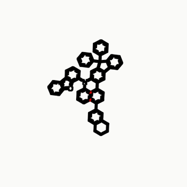 c1ccc(N(c2cc3c(cc2-c2ccc(-c4ccc5c(c4)CCCC5)cc2)-c2ccccc2C3(c2ccccc2)c2ccccc2)c2cccc3c2oc2ccccc23)cc1